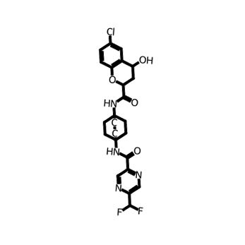 O=C(NC12CCC(NC(=O)C3CC(O)c4cc(Cl)ccc4O3)(CC1)CC2)c1cnc(C(F)F)cn1